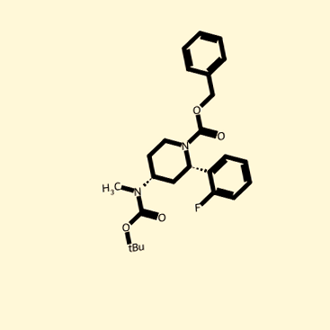 CN(C(=O)OC(C)(C)C)[C@@H]1CCN(C(=O)OCc2ccccc2)[C@H](c2ccccc2F)C1